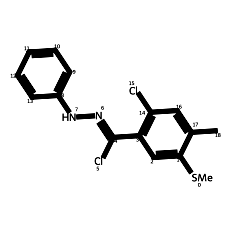 CSc1cc(C(Cl)=NNc2ccccc2)c(Cl)cc1C